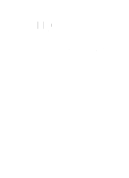 CC(=O)C1CCCC2CCCCC21